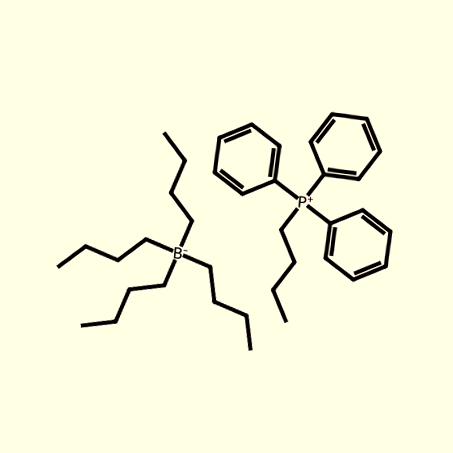 CCCC[B-](CCCC)(CCCC)CCCC.CCCC[P+](c1ccccc1)(c1ccccc1)c1ccccc1